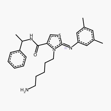 Cc1cc(C)cc(/N=c2\scc(C(=O)NC(C)c3ccccc3)n2CCCCCN)c1